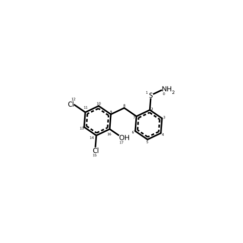 NSc1ccccc1Cc1cc(Cl)cc(Cl)c1O